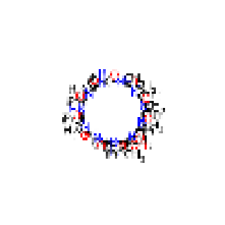 CC[C@@H]1NC(=O)[C@H]([C@H](O)[C@H](C)CC(C)C)N(C)C(=O)[C@H](C(C)C)N(C)C(=O)[C@H](CC(C)C)N(C)C(=O)[C@H](CC(C)C)N(C)C(=O)[C@@H](C)NC(=O)CNC(=O)[C@H](CC(C)C)N(C)C(=O)[C@H](C(C)C)NC(=O)[C@H](CC(C)C)N(C)C(=O)CN(C)C1=O